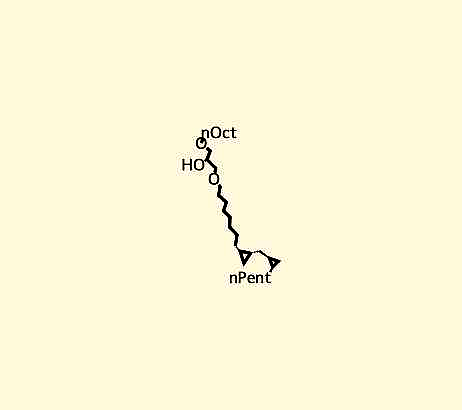 CCCCCCCCOC[C@H](O)COCCCCCCCC[C@H]1C[C@H]1C[C@H]1C[C@H]1CCCCC